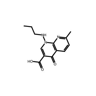 CCCNn1cc(C(=O)O)c(=O)c2ccc(C)nc21